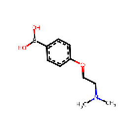 CN(C)CCOc1ccc(B(O)O)cc1